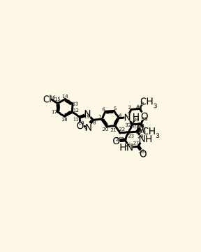 C[C@@H]1CN2c3ccc(-c4noc(-c5ccc(Cl)cc5)n4)cc3CC3(C(=O)NC(=O)NC3=O)[C@H]2[C@H](C)O1